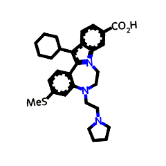 CSc1ccc2c(c1)N(CCN1CCCC1)CCn1c-2c(C2CCCCC2)c2ccc(C(=O)O)cc21